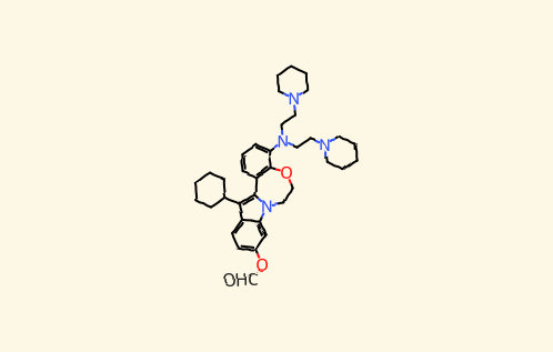 O=COc1ccc2c(C3CCCCC3)c3n(c2c1)CCOc1c-3cccc1N(CCN1CCCCC1)CCN1CCCCC1